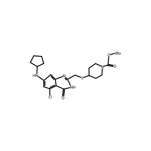 CC(C)(C)OC(=O)N1CCC(SCc2nc3cc(NC4CCCC4)cc(Cl)c3c(=O)[nH]2)CC1